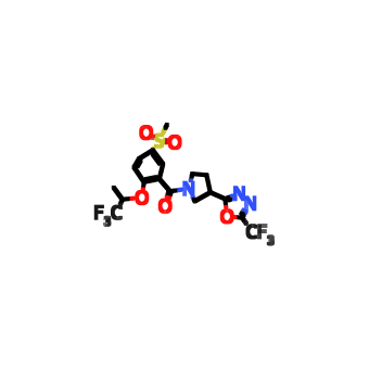 CC(Oc1ccc(S(C)(=O)=O)cc1C(=O)N1CCC(c2nnc(C(F)(F)F)o2)C1)C(F)(F)F